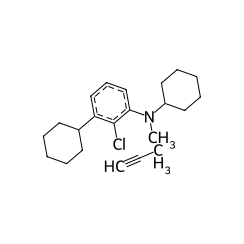 C#CC.CN(c1cccc(C2CCCCC2)c1Cl)C1CCCCC1